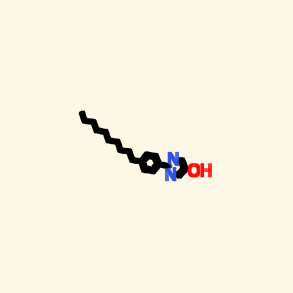 CCCCCCCCCCc1ccc(-c2ncc(O)cn2)cc1